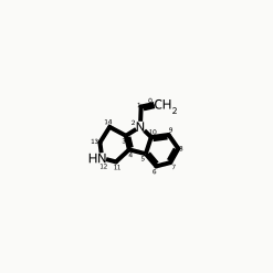 C=Cn1c2c(c3ccccc31)CNCC2